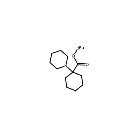 CC(C)(C)OC(=O)C1(N2CCCCC2)CC[CH]CC1